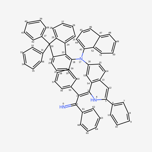 N=C(/C(=C1\NC(c2ccccc2)=Cc2ccc(N(c3cccc4c3-c3ccccc3C4(c3ccccc3)c3ccccc3)c3cccc4ccccc34)cc21)c1ccccc1)c1ccccc1